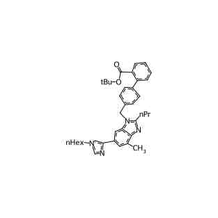 CCCCCCn1cnc(-c2cc(C)c3nc(CCC)n(Cc4ccc(-c5ccccc5C(=O)OC(C)(C)C)cc4)c3c2)c1